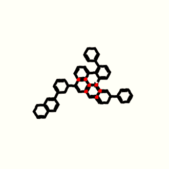 C1#CC(N(c2ccc(C3C=CC=C(c4ccc5c(c4)CCC=C5)C3)cc2)c2cccc(C3=CCCC=C3)c2-c2ccccc2-c2ccccc2)=CC(c2ccccc2)C1